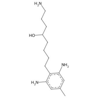 Cc1cc(N)c(CCCCC(O)CCCN)c(N)c1